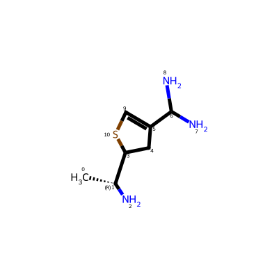 C[C@@H](N)C1CC(C(N)N)=CS1